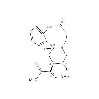 CC[C@H]1CN2CCC(=O)Nc3ccccc3[C@H]2C[C@@H]1/C(=C\OC)C(=O)OC